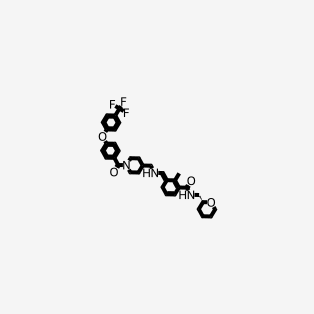 CC1=C(C(=O)NC[C@H]2CCCCO2)C=CC/C1=C\NCC1CCN(C(=O)c2ccc(Oc3ccc(C(F)(F)F)cc3)cc2)CC1